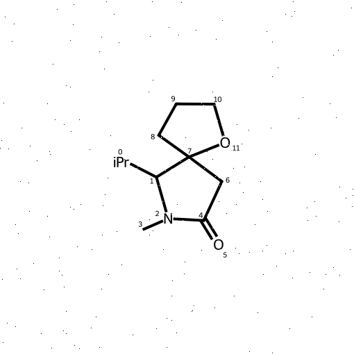 CC(C)C1N(C)C(=O)CC12CCCO2